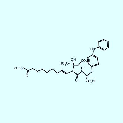 CCCCCCCC(=O)CCCCCC/C=C/[C@H](C(=O)N[C@@H](Cc1ccc(Nc2ccccc2)cc1)C(=O)O)[C@@](O)(CC(=O)O)C(=O)O